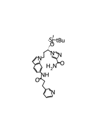 CC(C)(C)[Si](C)(C)OC[C@@H](CCn1ccc2ccc(NC(=O)CCc3cccnc3)cc21)n1cnc(C(N)=O)c1